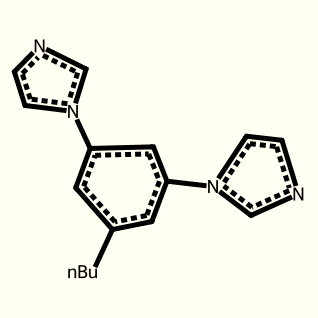 CCCCc1cc(-n2ccnc2)cc(-n2ccnc2)c1